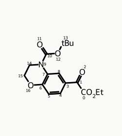 CCOC(=O)C(=O)c1ccc2c(c1)N(C(=O)OC(C)(C)C)CCO2